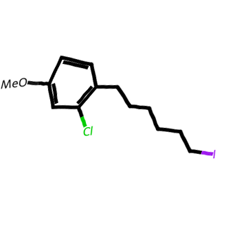 COc1ccc(CCCCCCI)c(Cl)c1